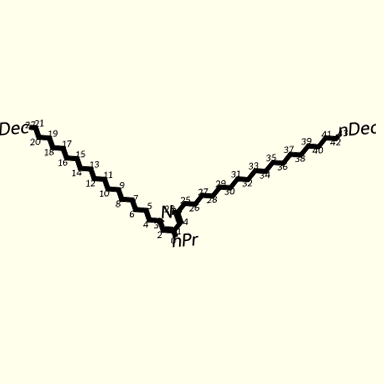 [CH2]CCc1cc(CCCCCCCCCCCCCCCCCCCCCCCCCCCC)nc(CCCCCCCCCCCCCCCCCCCCCCCCCCCC)c1